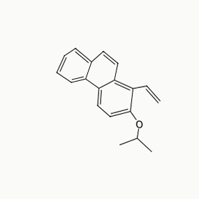 C=Cc1c(OC(C)C)ccc2c1ccc1ccccc12